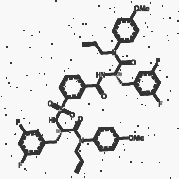 C=CCN(C(=O)[C@H](Cc1cc(F)cc(F)c1)NC(=O)c1cccc(S(=O)(=O)N[C@@H](Cc2cc(F)cc(F)c2)C(=O)N(CC=C)c2ccc(OC)cc2)c1)c1ccc(OC)cc1